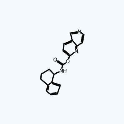 O=C(NC1CCCc2ccccc21)Oc1ccc2cnccc2n1